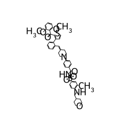 COc1cccc(OC)c1C(=O)c1sccc1-c1ccccc1C=C1CCN(c2ccc(C(=O)NS(=O)(=O)c3ccc(NCC4CCOCC4)c(C)c3)cc2)CC1